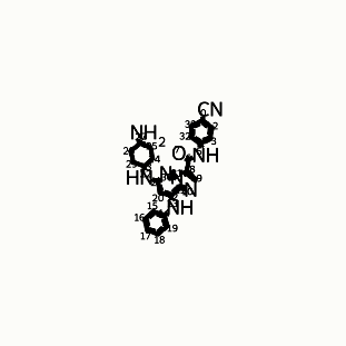 N#Cc1ccc(NC(=O)c2cnc3c(Nc4ccccc4)cc(NC4CCC(N)CC4)nn23)cc1